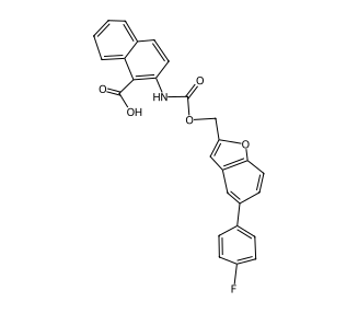 O=C(Nc1ccc2ccccc2c1C(=O)O)OCc1cc2cc(-c3ccc(F)cc3)ccc2o1